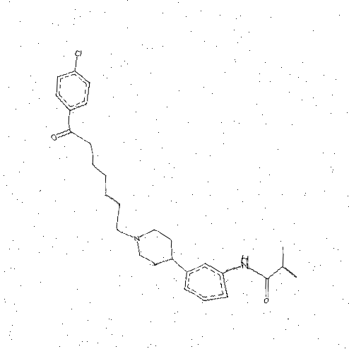 CC(C)C(=O)Nc1cccc(C2CCN(CCCCCCC(=O)c3ccc(Cl)cc3)CC2)c1